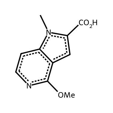 COc1nccc2c1cc(C(=O)O)n2C